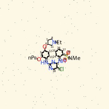 CCCOc1cc(OC2CCN(CC)C2)ccc1Nc1ncc(Cl)c(Nc2ccccc2S(=O)(=O)NC)n1